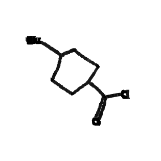 CC(C)(C)C1CCC(C(=O)Cl)CC1